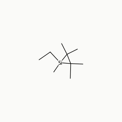 CC[Si]1(C)C(C)(C)C1(C)C